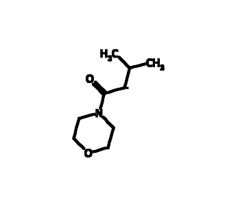 CC(C)[CH]C(=O)N1CCOCC1